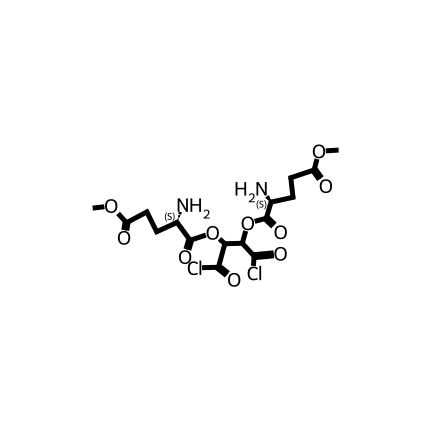 COC(=O)CC[C@H](N)C(=O)OC(C(=O)Cl)C(OC(=O)[C@@H](N)CCC(=O)OC)C(=O)Cl